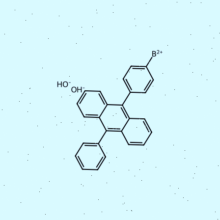 [B+2]c1ccc(-c2c3ccccc3c(-c3ccccc3)c3ccccc23)cc1.[OH-].[OH-]